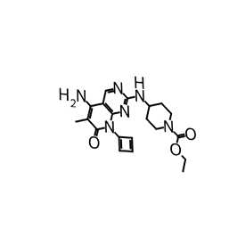 CCOC(=O)N1CCC(Nc2ncc3c(N)c(C)c(=O)n(C4=CC=C4)c3n2)CC1